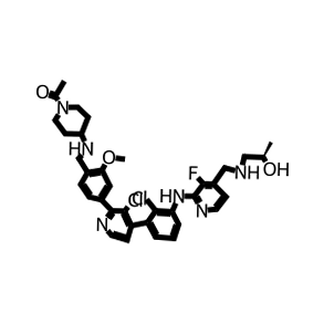 COc1cc(-c2nccc(-c3cccc(Nc4nccc(CNC[C@@H](C)O)c4F)c3Cl)c2Cl)ccc1CNC1CCN(C(C)=O)CC1